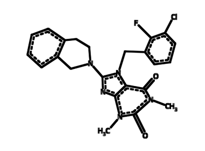 Cn1c(=O)c2c(nc(N3CCc4ccccc4C3)n2Cc2cccc(Cl)c2F)n(C)c1=O